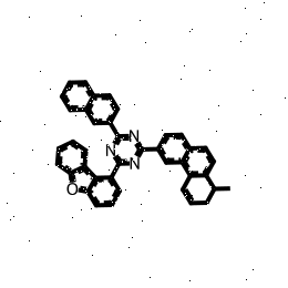 CC1CC=Cc2c1ccc1ccc(-c3nc(-c4ccc5ccccc5c4)nc(-c4cccc5oc6ccccc6c45)n3)cc21